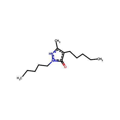 CCCCCc1c(C)[nH]n(CCCCC)c1=O